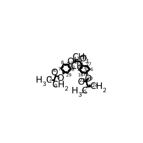 C=C(C)C(=O)Oc1ccc(OC(C)(C)C(=O)c2ccc(OC(=O)C(=C)C)cc2)cc1